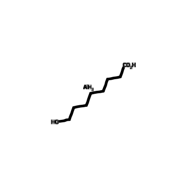 O=C(O)CCCCCCCO.[AlH3]